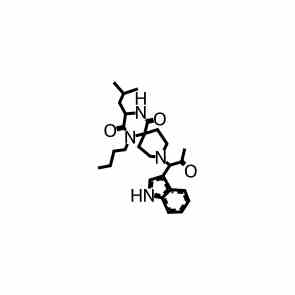 CCCCN1C(=O)C(CC(C)C)NC(=O)C12CCN(C(C(C)=O)c1c[nH]c3ccccc13)CC2